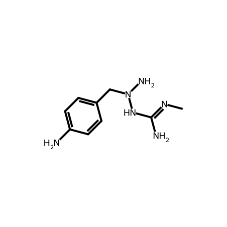 CN=C(N)NN(N)Cc1ccc(N)cc1